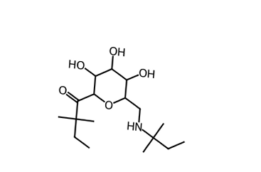 CCC(C)(C)NCC1OC(C(=O)C(C)(C)CC)C(O)C(O)C1O